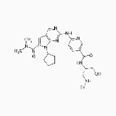 CCNC[C@@H](CO)NC(=O)c1ccc(Nc2ncc3cc(C(=O)N(C)C)n(C4CCCC4)c3n2)nc1